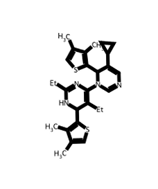 CCC1=NC(N2C=NC=C(C3CC3)C2c2scc(C)c2C)=C(CC)C(c2scc(C)c2C)N1